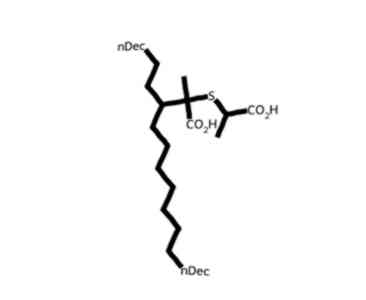 CCCCCCCCCCCCCCCCCC(CCCCCCCCCCCC)C(C)(SC(C)C(=O)O)C(=O)O